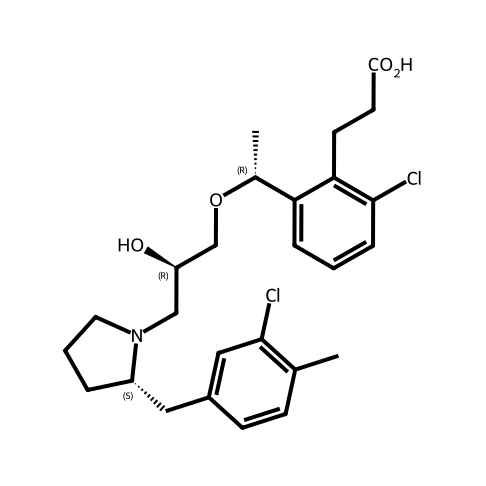 Cc1ccc(C[C@@H]2CCCN2C[C@@H](O)CO[C@H](C)c2cccc(Cl)c2CCC(=O)O)cc1Cl